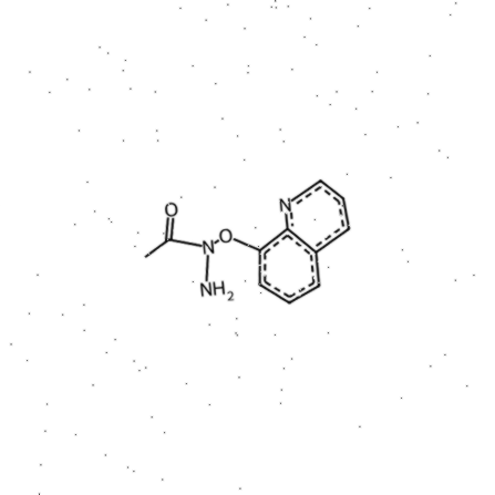 CC(=O)N(N)Oc1cccc2cccnc12